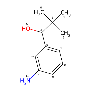 CC(C)(C)C(O)c1cccc(N)c1